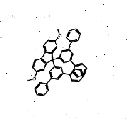 COc1ccc2c(c1)C(c1cc(-c3ccccc3)cc(-c3ccccc3)c1)(c1cc(-c3ccccc3)cc(-c3ccccc3)c1)c1cc(OC)ccc1-2